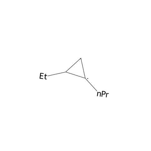 CCC[C]1CC1CC